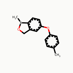 CB1OCc2cc(Oc3ccc(C)cc3)ccc21